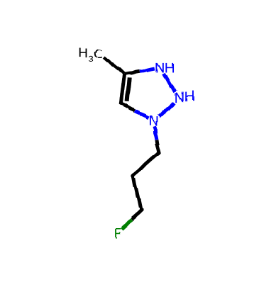 CC1=CN(CCCF)NN1